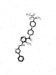 Cc1c(NCC2CC(c3ccccc3)CO2)ncnc1C(=O)N1CCC(N2CCC(N(C)S(C)(=O)=O)CC2)CC1